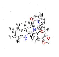 [2H]c1c([2H])c([C@]2([2H])c3[nH]c4c([2H])c([2H])c([2H])c([2H])c4c3C([2H])([2H])[C@]3([2H])C(=O)N(C([2H])([2H])[2H])C([2H])([2H])C(=O)N23)c([2H])c2c1OCO2